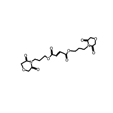 O=C(/C=C/C(=O)OCCCN1C(=O)COCC1=O)OCCCN1C(=O)COCC1=O